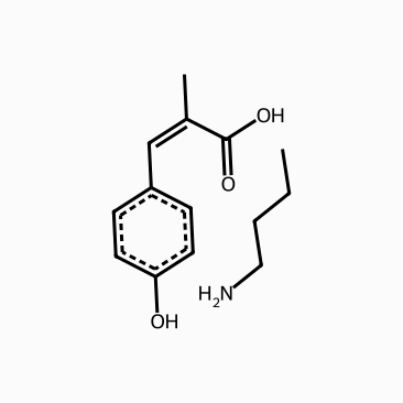 CC(=Cc1ccc(O)cc1)C(=O)O.CCCCN